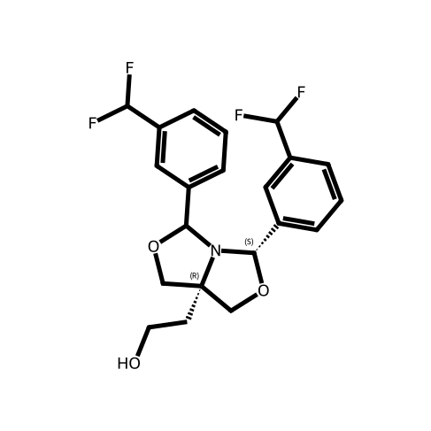 OCC[C@]12COC(c3cccc(C(F)F)c3)N1[C@H](c1cccc(C(F)F)c1)OC2